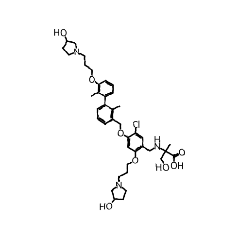 Cc1c(COc2cc(OCCCN3CCC(O)C3)c(CNC(C)(CO)C(=O)O)cc2Cl)cccc1-c1cccc(OCCCN2CCC(O)C2)c1C